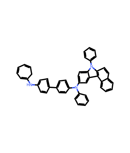 C1=CC=C(Nc2ccc(-c3ccc(N(c4ccccc4)c4ccc5c(c4)c4c6ccccc6ccc4n5-c4ccccc4)cc3)cc2)CC=C1